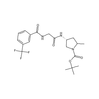 CC1C[C@@H](NC(=O)CNC(=O)c2cccc(C(F)(F)F)c2)CN1C(=O)OC(C)(C)C